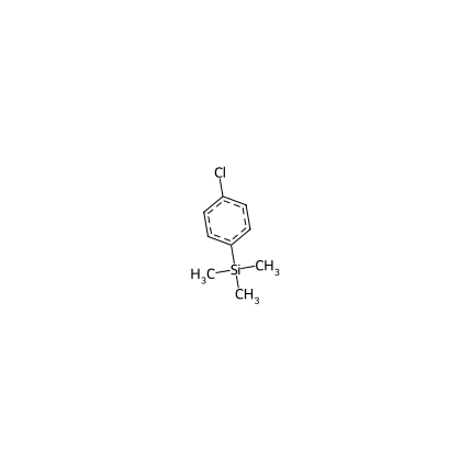 C[Si](C)(C)c1ccc(Cl)cc1